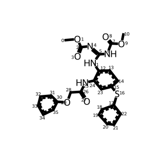 COC(=O)/N=C(/NC(=O)OC)Nc1ccc(Sc2ccccc2)cc1NC(=O)COc1ccccc1